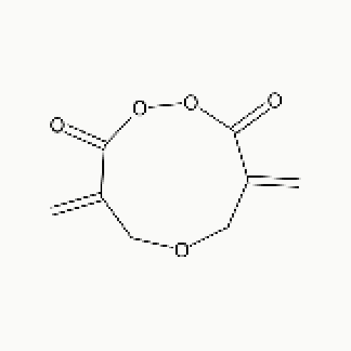 C=C1COCC(=C)C(=O)OOC1=O